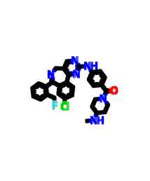 CNC1CCN(C(=O)c2ccc(Nc3ncc4c(n3)-c3ccc(Cl)cc3C(c3ccccc3CF)=NC4)cc2)CC1